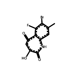 Cc1cc2[nH]c(=O)c(O)cc(=O)c2c(F)c1Br